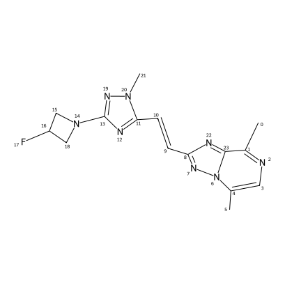 Cc1ncc(C)n2nc(C=Cc3nc(N4CC(F)C4)nn3C)nc12